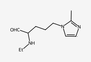 CCNC(C=O)CCCn1c[c]nc1C